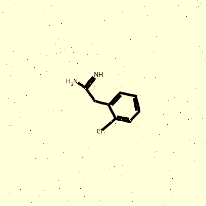 N=C(N)Cc1ccccc1Cl